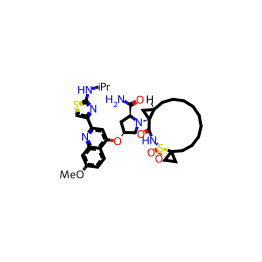 COc1ccc2c(O[C@@H]3C[C@@H](C(N)=O)N([C@]45C[C@H]4CCCCCCCCCC4(CC4)S(=O)(=O)NC5=O)C3)cc(-c3csc(NC(C)C)n3)nc2c1